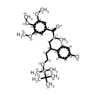 COc1cc(C(=O)N(C)CC(CCO[Si](C)(C)C(C)(C)C)c2ccc(Cl)cc2)cc(OC)c1OC